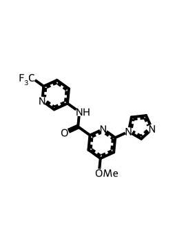 COc1cc(C(=O)Nc2ccc(C(F)(F)F)nc2)nc(-n2ccnc2)c1